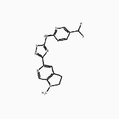 CN1CCc2cc(-c3nsc(Nc4[c]cc(C(F)F)cn4)n3)ncc21